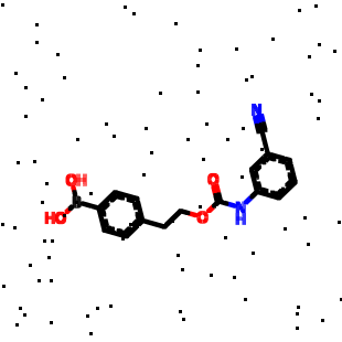 N#Cc1cccc(NC(=O)OCCc2ccc(B(O)O)cc2)c1